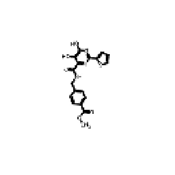 COC(=O)c1ccc(CNC(=O)c2nc(-c3cccs3)nc(O)c2O)cc1